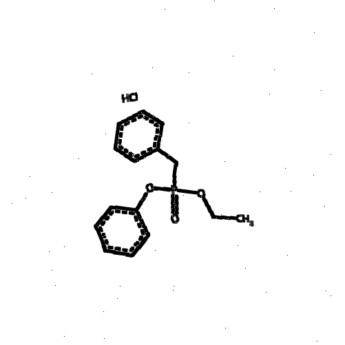 CCOP(=O)(Cc1ccccc1)Oc1ccccc1.Cl